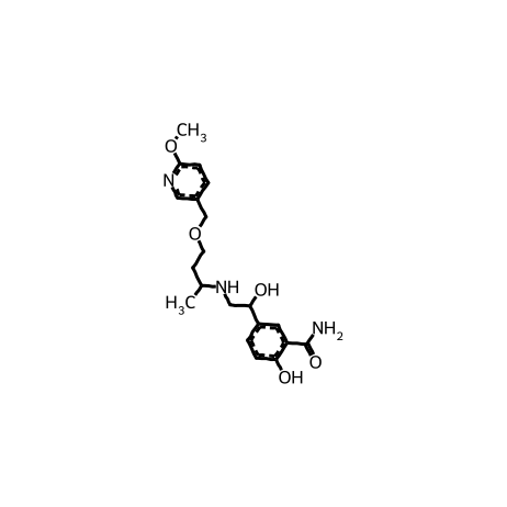 COc1ccc(COCCC(C)NCC(O)c2ccc(O)c(C(N)=O)c2)cn1